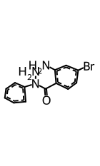 Nc1cc(Br)ccc1C(=O)N(N)c1ccccc1